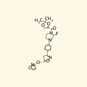 CC1(C)OC[C@@H](C(=O)N2CCN(c3ccc(C4=NO[C@H](COc5ccon5)C4)cc3)CC2F)O1